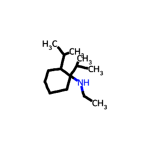 CCNC1(C(C)C)CCCCC1C(C)C